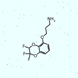 NCCCOc1cccc2c1OC(F)C(F)(F)O2